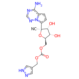 N#C[C@@]1(c2ccc3c(N)ncnn23)O[C@H](COC(=O)OCc2cn[nH]c2)[C@@H](O)[C@H]1O